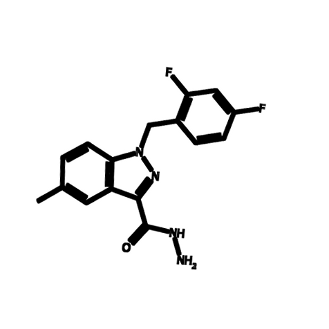 Cc1ccc2c(c1)c(C(=O)NN)nn2Cc1ccc(F)cc1F